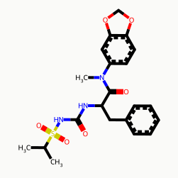 CC(C)S(=O)(=O)NC(=O)NC(Cc1ccccc1)C(=O)N(C)c1ccc2c(c1)OCO2